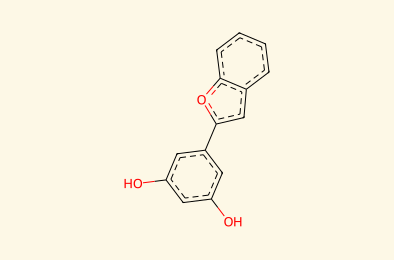 Oc1cc(O)cc(-c2cc3ccccc3o2)c1